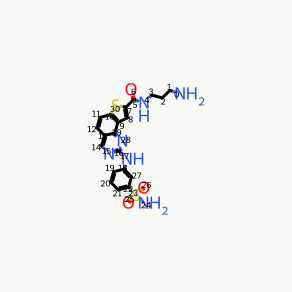 NCCCNC(=O)c1cc2c(ccc3cnc(Nc4cccc(S(N)(=O)=O)c4)nc32)s1